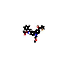 CCOCCn1c2ccc(C(=O)c3cccs3)cc2c2cc(/C(Cc3ccccc3C)=N/OC(C)=O)ccc21